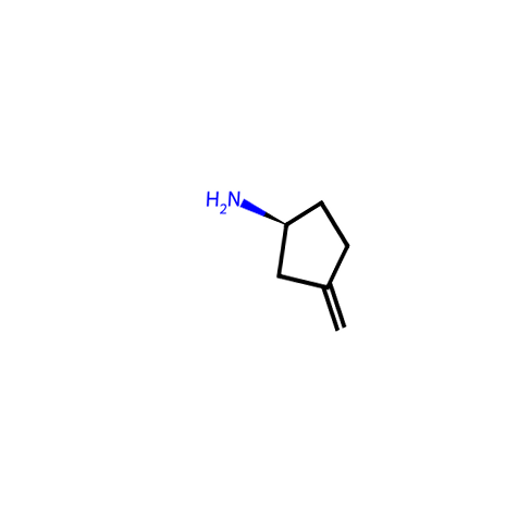 C=C1CC[C@H](N)C1